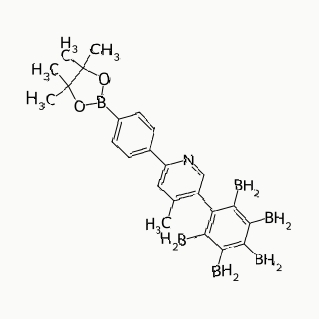 Bc1c(B)c(B)c(-c2cnc(-c3ccc(B4OC(C)(C)C(C)(C)O4)cc3)cc2C)c(B)c1B